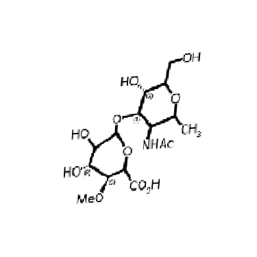 CO[C@@H]1C(C(=O)O)OC(O[C@@H]2C(NC(C)=O)C(C)OC(CO)[C@H]2O)C(O)[C@H]1O